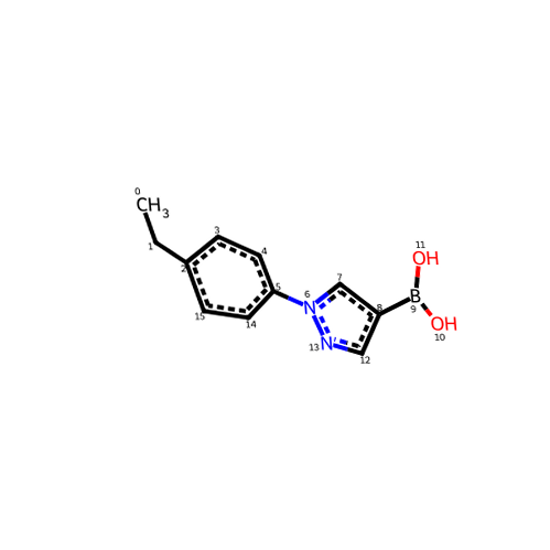 CCc1ccc(-n2cc(B(O)O)cn2)cc1